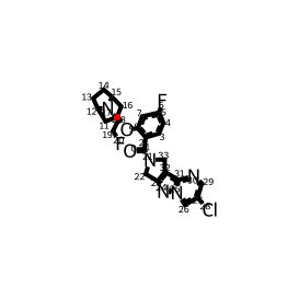 O=C(c1ccc(F)cc1OC1CC2CCC(C1)N2CCF)N1Cc2nn3cc(Cl)cnc3c2C1